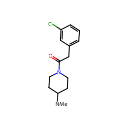 CNC1CCN(C(=O)Cc2cccc(Cl)c2)CC1